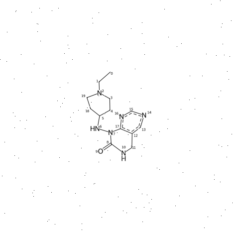 CCN1CCC(NN2C(=O)NCc3cncnc32)CC1